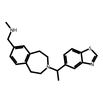 CNCc1ccc2c(c1)CCN(C(C)c1ccc3scnc3c1)CC2